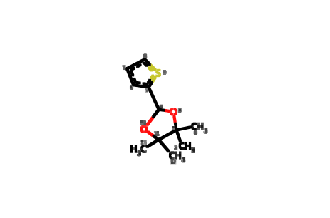 CC1(C)OC(c2cccs2)OC1(C)C